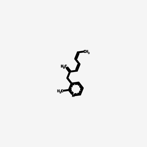 C=C(/C=C\C=C/C)Cc1cccnc1C